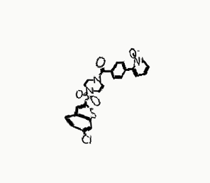 O=C(c1ccc(-c2cccc[n+]2[O-])cc1)N1CCN(S(=O)(=O)c2cc3ccc(Cl)cc3s2)CC1